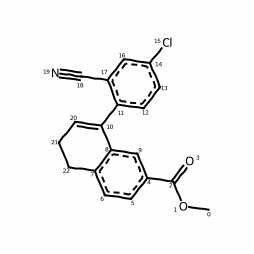 COC(=O)c1ccc2c(c1)C(c1ccc(Cl)cc1C#N)=CCC2